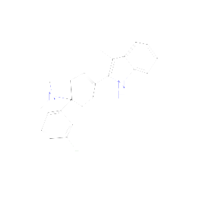 Cc1c(C2=CCC(c3cccc(F)c3)(N(C)C)CC2)[nH]c2ccccc12